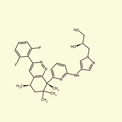 C[C@@H]1CC(C)(C)[C@@](C)(c2cccc(Nc3cnn(C[C@@H](O)CO)c3)n2)c2nnc(-c3c(F)cccc3F)cc21